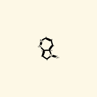 S=S1CC=C2N=NC=CC=C21